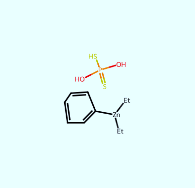 C[CH2][Zn]([CH2]C)[c]1ccccc1.OP(O)(=S)S